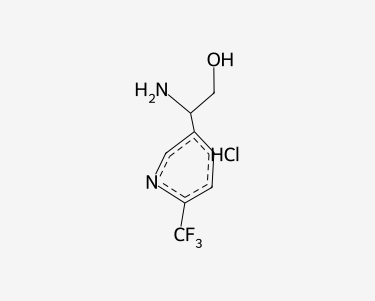 Cl.NC(CO)c1ccc(C(F)(F)F)nc1